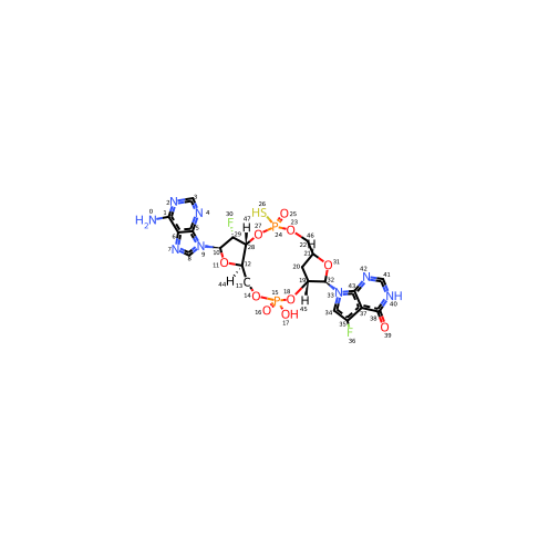 Nc1ncnc2c1ncn2[C@@H]1O[C@@H]2COP(=O)(O)O[C@@H]3C[C@@H](COP(=O)(S)O[C@H]2[C@H]1F)O[C@H]3n1cc(F)c2c(=O)[nH]cnc21